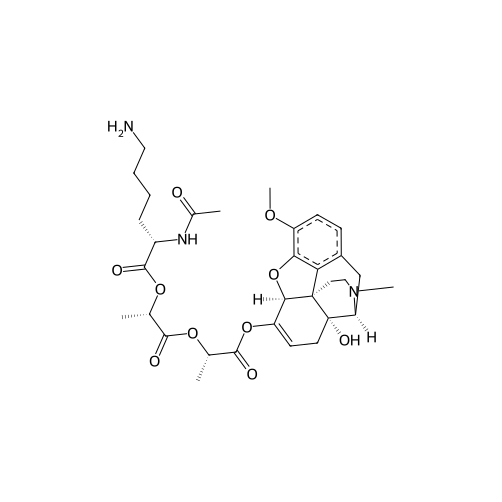 COc1ccc2c3c1O[C@@H]1C(OC(=O)[C@H](C)OC(=O)[C@H](C)OC(=O)[C@H](CCCCN)NC(C)=O)=CC[C@]4(O)[C@H](C2)N(C)CC[C@@]314